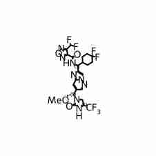 COC[C@H](c1cnn2cc([C@@H](NC(=O)c3nonc3C(F)F)C3CCC(F)(F)CC3)nc2c1)N1C[C@@H](C(F)(F)F)NC1=O